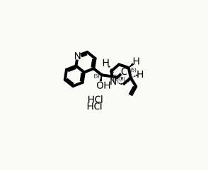 C=C[C@H]1C[N@]2CC[C@H]1C[C@@H]2[C@@H](O)c1ccnc2ccccc12.Cl.Cl